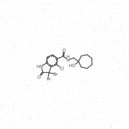 O=C(NCC1(O)CCCCCC1)c1ccc2c(c1Cl)C(Br)(Br)C(=O)N2